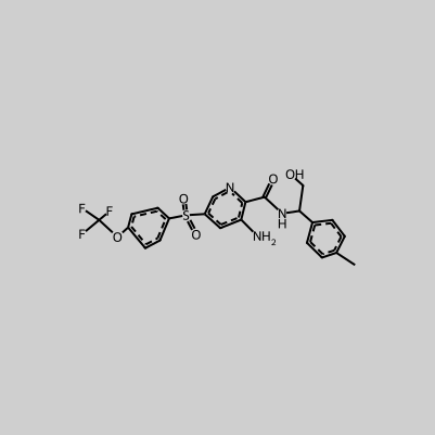 Cc1ccc(C(CO)NC(=O)c2ncc(S(=O)(=O)c3ccc(OC(F)(F)F)cc3)cc2N)cc1